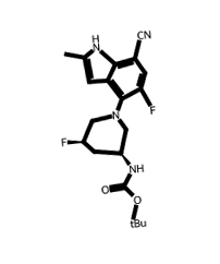 Cc1cc2c(N3C[C@H](F)C[C@H](NC(=O)OC(C)(C)C)C3)c(F)cc(C#N)c2[nH]1